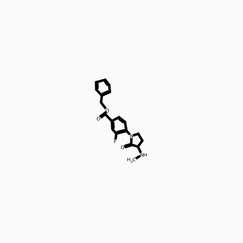 CNC1CCN(c2ccc(C(=O)OCc3ccccc3)cc2F)C1=O